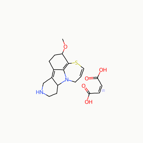 COC1CCC2=C3CNCCC3N3CC=CSC1=C23.O=C(O)/C=C\C(=O)O